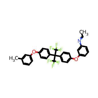 CC=Nc1cccc(Oc2ccc(C(c3ccc(Oc4cccc(C)c4)cc3)(C(F)(F)F)C(F)(F)F)cc2)c1